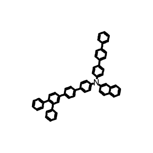 c1ccc(-c2ccc(-c3ccc(N(c4ccc(-c5ccc(-c6ccc(-c7ccccc7)c(-c7ccccc7)c6)cc5)cc4)c4ccc5ccccc5c4)cc3)cc2)cc1